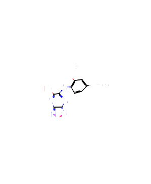 CCCCCCc1ccc(Nc2nc3nonc3nc2O)c(OC(F)(F)F)c1